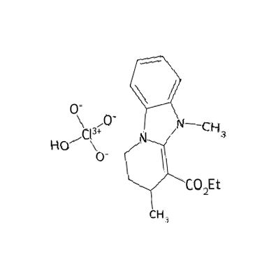 CCOC(=O)C1=C2N(C)c3ccccc3N2CCC1C.[O-][Cl+3]([O-])([O-])O